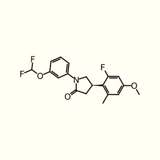 COc1cc(C)c([C@H]2CC(=O)N(c3cccc(OC(F)F)c3)C2)c(F)c1